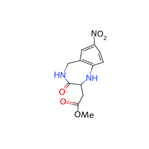 COC(=O)CC1Nc2ccc([N+](=O)[O-])cc2CNC1=O